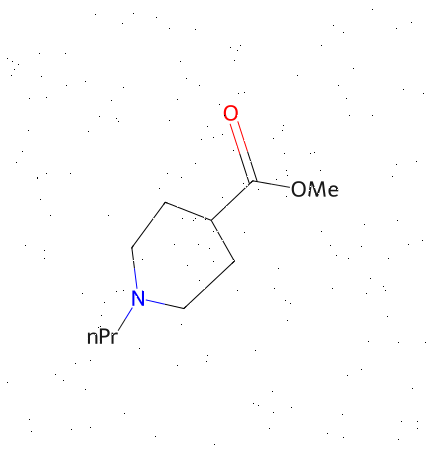 CCCN1CCC(C(=O)OC)CC1